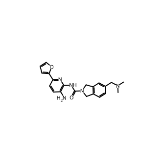 CN(C)Cc1ccc2c(c1)CN(C(=O)Nc1nc(-c3ccco3)ccc1N)C2